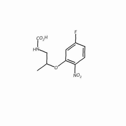 CC(CNC(=O)O)Oc1cc(F)ccc1[N+](=O)[O-]